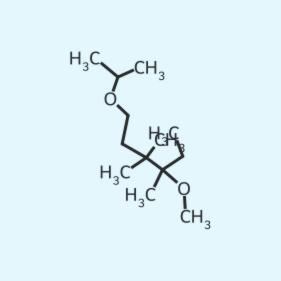 CCC(C)(OC)C(C)(C)CCOC(C)C